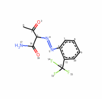 CC(=O)C(N=Nc1ccccc1C(F)(F)F)C(N)=O